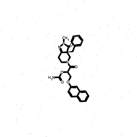 CN1N=C2CCN(C(=O)C(COc3ccc4ccccc4c3)OC(N)=O)C[C@@]2(Cc2ccccc2)C1=O